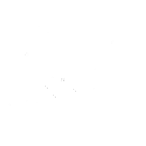 c1ccc(-c2cccc3c2oc2cc(-c4nc(-c5cccc6sc7ccccc7c56)nc(-n5c6ccccc6c6cc7c(cc65)CCCCCCCc5ccccc5-7)n4)ccc23)cc1